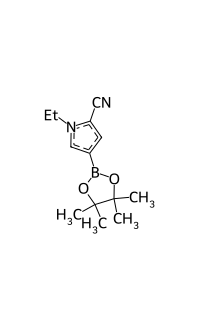 CCn1cc(B2OC(C)(C)C(C)(C)O2)cc1C#N